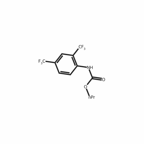 [CH2]CCOC(=O)Nc1ccc(C(F)(F)F)cc1C(F)(F)F